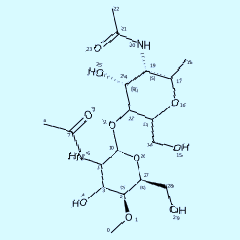 CO[C@H]1C(O)C(NC(C)=O)C(OC2C(CO)OC(C)[C@@H](NC(C)=O)[C@H]2O)O[C@H]1CO